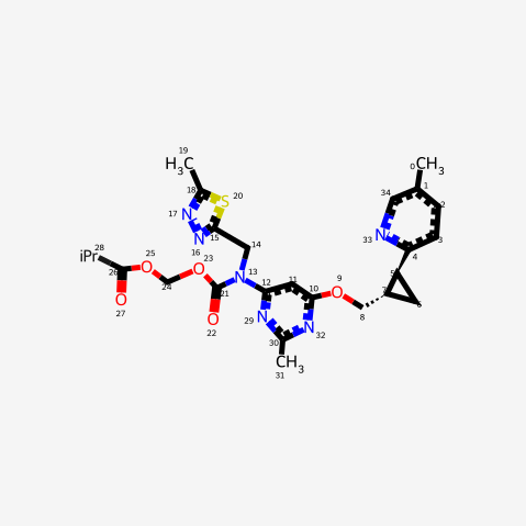 Cc1ccc([C@H]2C[C@@H]2COc2cc(N(Cc3nnc(C)s3)C(=O)OCOC(=O)C(C)C)nc(C)n2)nc1